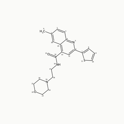 Cc1ccc2nc(-c3cccs3)cc(C(=O)NCCN3CCOCC3)c2c1